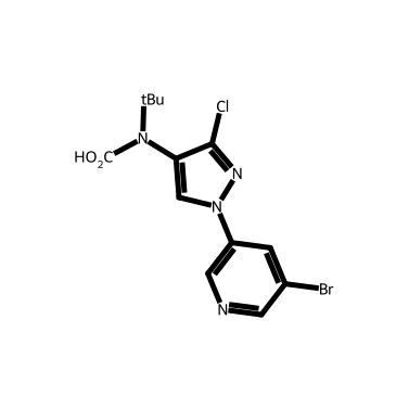 CC(C)(C)N(C(=O)O)c1cn(-c2cncc(Br)c2)nc1Cl